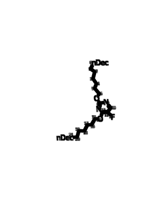 CCCCCCCCCCCCCCCCOc1ncc(F)c(OCCCCCCCCCCCCCCCC)n1